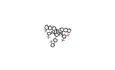 CC(C)(C)c1cc(N2c3cc(-c4ccc5c(c4)C(C)(C)c4ccccc4-5)cc4c3B(c3ccc5cc6ccccc6cc5c32)c2ccc3cc5ccccc5cc3c2N4c2cc(C(C)(C)C)cc(C(C)(C)C)c2)cc(C(C)(C)C)c1